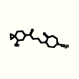 O=C(O)N1CCC(=O)N(CCCC(=O)N2CCC3(CC3)C(O)C2)CC1